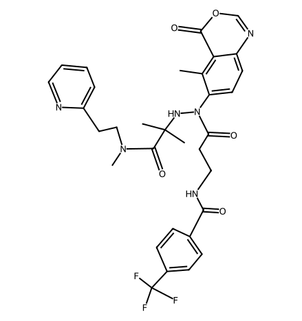 Cc1c(N(NC(C)(C)C(=O)N(C)CCc2ccccn2)C(=O)CCNC(=O)c2ccc(C(F)(F)F)cc2)ccc2ncoc(=O)c12